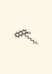 CCCCCCOc1[c]([Na])ccc2cc3ccccc3cc12